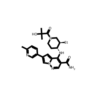 CC[C@@H]1CN(C(=O)C(C)(C)O)CC[C@H]1Nc1c(C(N)=O)cnn2cc(-c3ccc(C)nc3)cc12